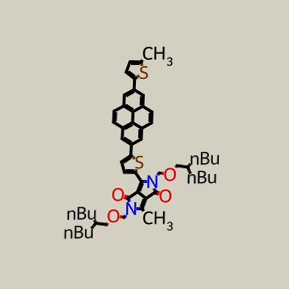 CCCCC(CCCC)COCN1C(=O)C2=C(c3ccc(-c4cc5ccc6cc(-c7ccc(C)s7)cc7ccc(c4)c5c67)s3)N(COCC(CCCC)CCCC)C(=O)C2=C1C